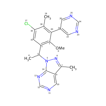 COc1c(C(C)n2nc(C)c3cncnc32)cc(Cl)c(C)c1-c1cncnc1